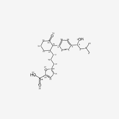 CC(C)CC(O)c1ccc(C2C(=O)CCCC2CCCc2ccc(C(=O)O)o2)cc1